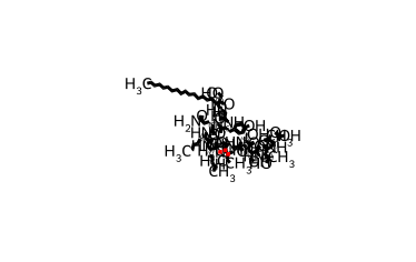 CCCCCCCCCCCCCCCC(=O)N[C@@H](CO)C(=O)NCC(=O)N[C@@H](Cc1ccc(O)cc1)C(=O)N[C@@H](CCC(N)=O)C(=O)N[C@@H](CCCCC)C(=O)N[C@@H](CCCCC)C(=O)N[C@@H](CC(C)C)C(=O)N[C@@H](CCCC)C(=O)N[C@@H](CO)C(=O)N[C@@H](CO)C(=O)N[C@H](C(=O)N[C@@H](CC(=O)O)C(C)=O)[C@@H](C)O